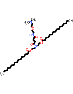 CCCCCCCCCCCCCCCC(=O)OCCN(CCOC(=O)CCCCCCCCCCCCCCC)C(=O)C=CC(=O)NCCOCCN(C)C